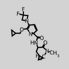 CN(C)C(=O)C(CC1CC1)NC(=O)c1ccc(N2CC(F)(F)C2)c(OCC2CC2)n1